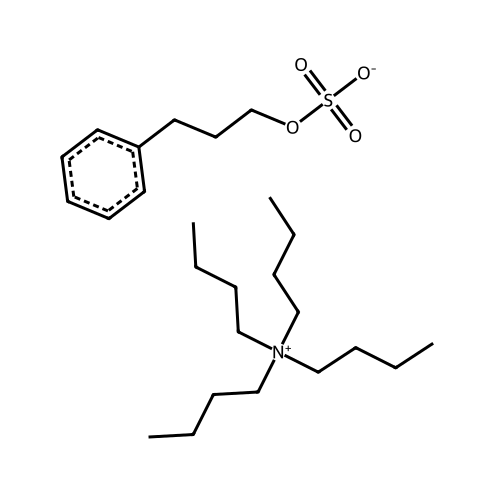 CCCC[N+](CCCC)(CCCC)CCCC.O=S(=O)([O-])OCCCc1ccccc1